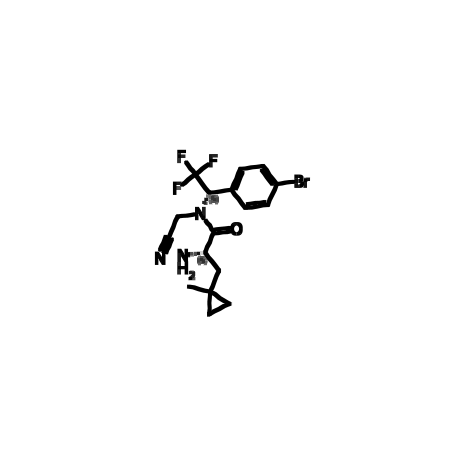 CC1(C[C@H](N)C(=O)N(CC#N)[C@@H](c2ccc(Br)cc2)C(F)(F)F)CC1